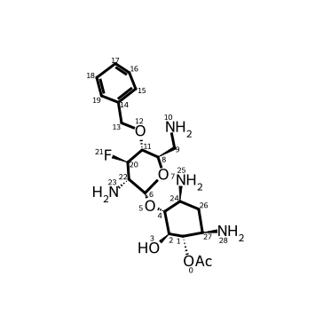 CC(=O)O[C@@H]1[C@@H](O)[C@H](O[C@H]2O[C@H](CN)[C@@H](OCc3ccccc3)[C@H](F)[C@H]2N)[C@@H](N)C[C@H]1N